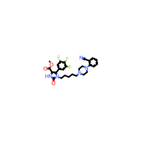 COC(=O)c1[nH]c(=O)n(CCCCCN2CCN(c3ccccc3C#N)CC2)c1-c1cc(F)c(F)c(F)c1